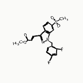 COC(=O)C=Cc1nn(Cc2ccc(F)cc2F)c2cc(S(C)(=O)=O)ccc12